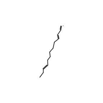 [CH]=CC=CCCCCCC=CCC